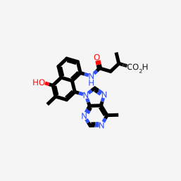 Cc1cc(-n2cnc3c(C)ncnc32)c2c(NC(=O)CC(C)C(=O)O)cccc2c1O